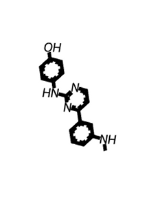 CNc1cccc(-c2ccnc(Nc3ccc(O)cc3)n2)c1